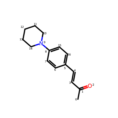 CC(=O)/C=C/c1ccc(N2CCCCC2)cc1